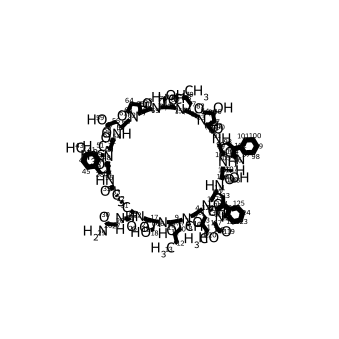 CCCC[C@H]1C(=O)N(C)[C@@H](CCCC)C(=O)N[C@@H](CO)C(=O)N[C@H](C(=O)NCC(N)=O)CSCC(=O)N[C@@H](Cc2ccc(O)cc2)C(=O)N(C)[C@@H](C)C(=O)N[C@@H](CC(=O)O)C(=O)N2CCC[C@H]2C(=O)N[C@@H](CO)C(=O)N[C@@H](CC(C)C)C(=O)N2C[C@H](O)C[C@H]2C(=O)N[C@@H](Cc2c[nH]c3ccccc23)C(=O)N[C@@H](CO)C(=O)N[C@@H](Cc2cn(CC(=O)O)c3ccccc23)C(=O)N1C